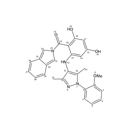 COc1ccccc1-n1nc(C)c(Nc2cc(O)cc(O)c2C(=O)n2cc3ccccc3c2)c1C